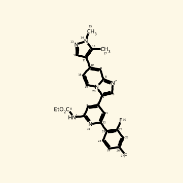 CCOC(=O)Nc1cc(-c2cnc3cc(-c4cnn(C)c4C)ccn23)cc(-c2ccc(F)cc2F)n1